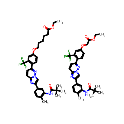 CCOC(=O)CCCCCOc1ccc(-c2ccc3nc(-c4ccc(C)c(NC(=O)C(C)(C)C)c4)cn3n2)c(C(F)(F)F)c1.CCOC(=O)COc1ccc(-c2ccc3nc(-c4ccc(C)c(NC(=O)C(C)(C)C)c4)cn3n2)c(C(F)(F)F)c1